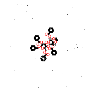 CC1(C)O[C@H]2[C@@H](O1)[C@@H](COC(=O)c1ccccc1)O[C@@H](O[C@H]1[C@H](O)[C@@H](OC(=O)c3ccccc3)[C@H](OCc3ccccc3)O[C@@H]1COC(=O)c1ccccc1)[C@@H]2OC(=O)c1ccccc1